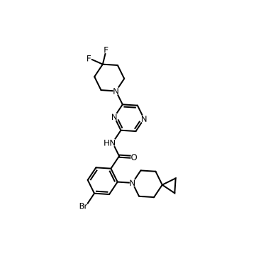 O=C(Nc1cncc(N2CCC(F)(F)CC2)n1)c1ccc(Br)cc1N1CCC2(CC1)CC2